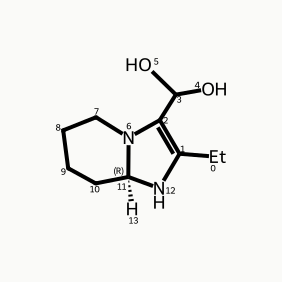 CCC1=C(C(O)O)N2CCCC[C@@H]2N1